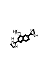 Cl.Cl.c1cc2cc(C3=NCCN3)ccc2cc1C1=NCCN1